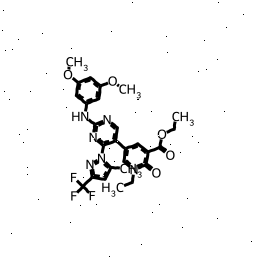 CCOC(=O)c1cc(-c2cnc(Nc3cc(OC)cc(OC)c3)nc2-n2nc(C(F)(F)F)cc2C)cn(CC)c1=O